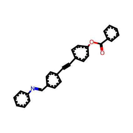 O=C(Oc1ccc(C#Cc2ccc(/C=N/c3ccccc3)cc2)cc1)c1ccccc1